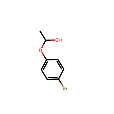 CC(O)Oc1ccc(Br)cc1